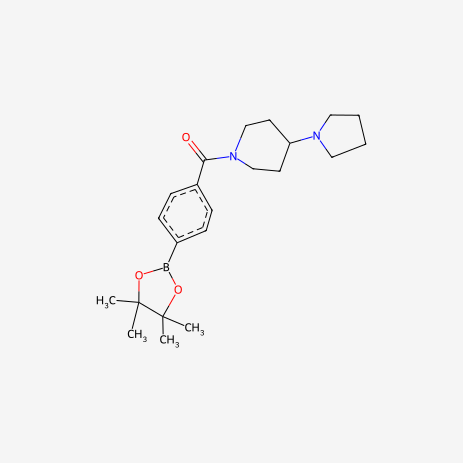 CC1(C)OB(c2ccc(C(=O)N3CCC(N4CCCC4)CC3)cc2)OC1(C)C